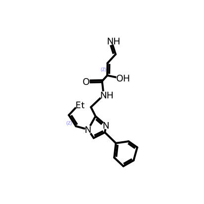 CC/C=C\n1cc(-c2ccccc2)nc1CNC(=O)/C(O)=C/C=N